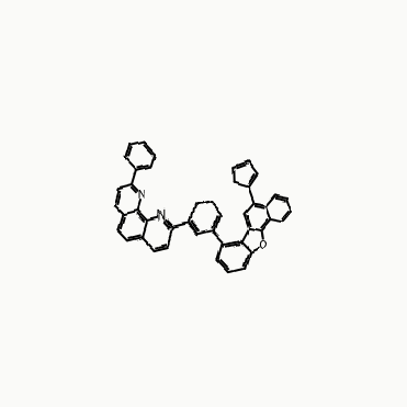 C1=CCC(c2cc3c(oc4cccc(C5=CCCC(c6ccc7ccc8ccc(-c9ccccc9)nc8c7n6)=C5)c43)c3ccccc23)=C1